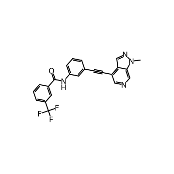 Cn1ncc2c(C#Cc3cccc(NC(=O)c4cccc(C(F)(F)F)c4)c3)cncc21